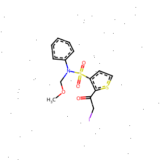 COCN(c1ccccc1)S(=O)(=O)c1ccsc1C(=O)CI